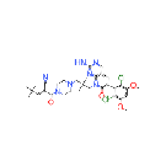 CNc1ncc2cc(-c3c(Cl)c(OC)cc(OC)c3Cl)c(=O)n(CC(C)(C)CN3CCN(C(=O)C(C#N)=CC(C)(C)C)CC3)c2n1